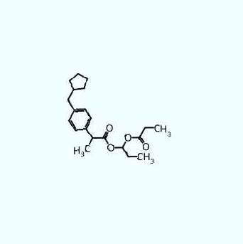 CCC(=O)OC(CC)OC(=O)C(C)c1ccc(CC2CCCC2)cc1